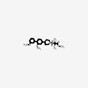 COC(=O)C(C)(C)S(=O)(=O)N1CC=C(c2ccc(-c3cccc(OC)c3)c(OC)c2)CC1